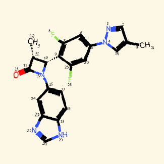 Cc1cnn(-c2cc(F)c([C@H]3[C@@H](C)C(=O)N3c3ccc4[nH]cnc4c3)c(F)c2)c1